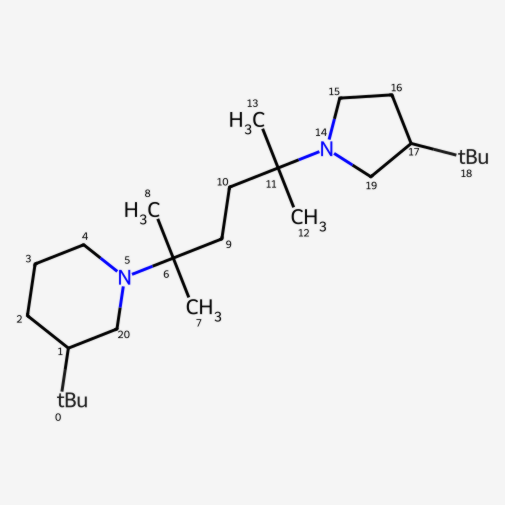 CC(C)(C)C1CCCN(C(C)(C)CCC(C)(C)N2CCC(C(C)(C)C)C2)C1